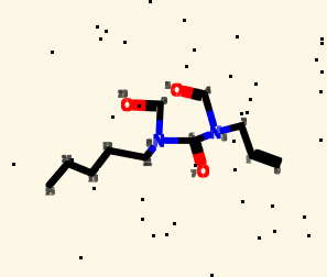 C=CCN(C=O)C(=O)N(C=O)CCCCC